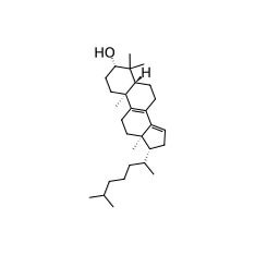 CC(C)CCCC(C)[C@H]1CC=C2C3=C(CC[C@@]21C)[C@@]1(C)CC[C@H](O)C(C)(C)[C@@H]1CC3